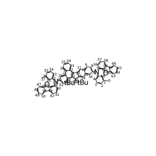 Cc1cccc(N(c2ccc3cc4c(cc3c2)C(C(C)(C)C)(C(C)(C)C)c2c-4c3ccccc3c3cc(N(c4cccc(C)c4)c4cccc5c4oc4ccccc45)ccc23)c2cccc3c2oc2ccccc23)c1